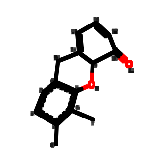 Cc1ccc2c(c1C)OC1C(=O)C=CC=C1C2